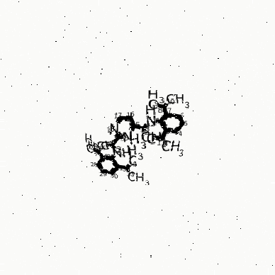 CC(C)c1cccc(C(C)C)c1NC(C)c1ccnc(C(C)Nc2c(C(C)C)cccc2C(C)C)n1